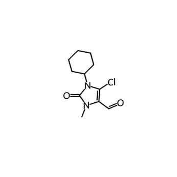 Cn1c(C=O)c(Cl)n(C2CCCCC2)c1=O